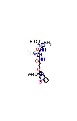 CCOC(=O)c1nc(NC(=O)c2nc(NC(=O)CCCOc3cn4c(c3OC)C=[N+]([O-])C3=CCCCC3C4)cn2C)cn1C